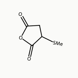 CSC1CC(=O)OC1=O